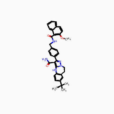 COc1ccc2ccccc2c1C(=O)NCc1ccc(-c2nn3c(c2C(N)=O)Nc2ccc(C(C)(C)C)cc2CC3)cc1